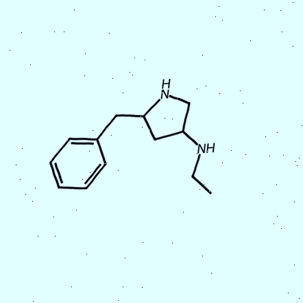 CCNC1CNC(Cc2ccccc2)C1